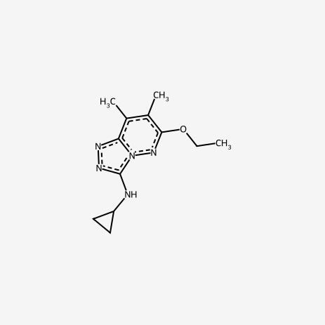 CCOc1nn2c(NC3CC3)nnc2c(C)c1C